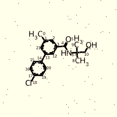 Cc1cc(C(=O)NC(C)(C)CO)cc(-c2ccc(Cl)cc2)c1